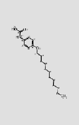 CCCCCCCCCCCCOc1ccc(NC(=O)O)cc1